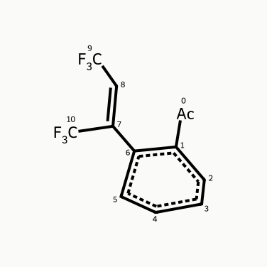 CC(=O)c1ccccc1C(=CC(F)(F)F)C(F)(F)F